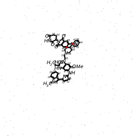 C=CC(=O)Nc1cc(Nc2nccc(-c3cn(C)c4ccccc34)n2)c(OC)cc1N(C)CCN1CCC(CN2C3CC2CN(c2ccc4c(c2)C(=O)N(C2CCC(=O)NC2=O)C4=O)C3)CC1